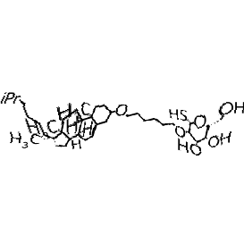 CC(C)CCC[C@@H](C)[C@H]1CC[C@H]2[C@@H]3CC=C4CC(OCCCCCCO[C@@H]5[C@@H](O)[C@@H](O)[C@@H](CO)O[C@H]5S)CC[C@]4(C)[C@H]3CC[C@]12C